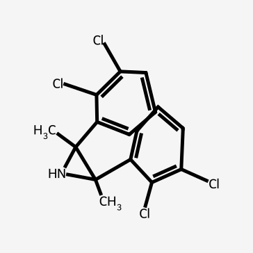 CC1(c2cccc(Cl)c2Cl)NC1(C)c1cccc(Cl)c1Cl